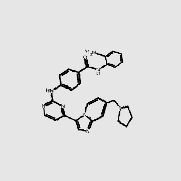 Nc1ccccc1NC(=O)c1ccc(Nc2nccc(-c3cnc4cc(CN5CCCC5)ccn34)n2)cc1